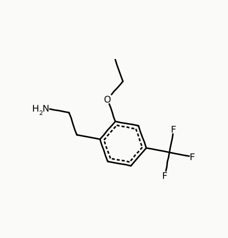 CCOc1cc(C(F)(F)F)ccc1CCN